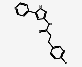 O=C(CCc1ccc(Cl)nc1)Nc1cc(-c2ccncc2)[nH]n1